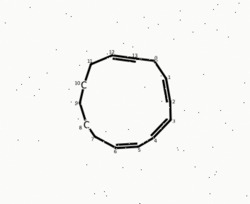 [CH]1C=CC=CC=CCCCCCC=C1